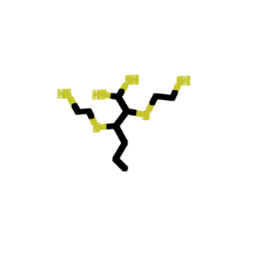 CCCC(SCCS)C(SCCS)C(S)S